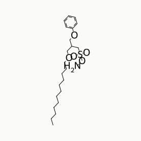 CCCCCCCCCCCCOCC(COc1ccccc1)CS(=O)(=O)ON